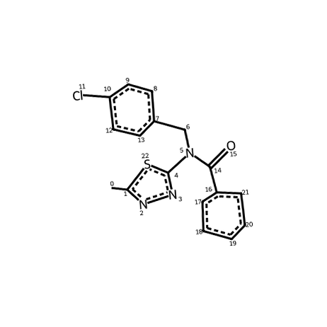 Cc1nnc(N(Cc2ccc(Cl)cc2)C(=O)c2ccccc2)s1